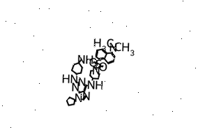 CN(C)c1cccc2c(S(=O)(=O)N3CCC(Nc4nc(NC5CCC(N)CC5)nc5c4ncn5C4CCCC4)CC3)cccc12